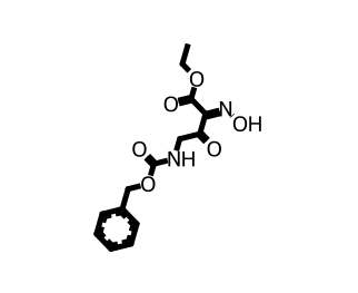 CCOC(=O)/C(=N/O)C(=O)CNC(=O)OCc1ccccc1